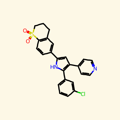 O=S1(=O)CCCc2cc(-c3cc(-c4ccncc4)c(-c4cccc(Cl)c4)[nH]3)ccc21